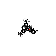 CN(C)C(=O)c1ccc2c(c1)CCc1cc(C(=O)N(C)C)ccc1C2(C[C@@H](N)Cc1ccc(F)cc1)c1nnn[nH]1